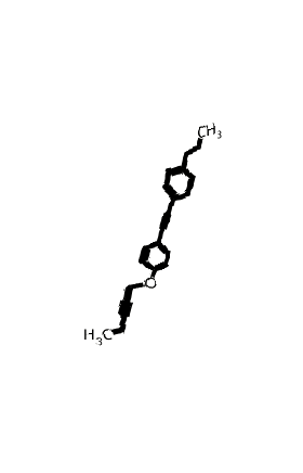 CCC#CCOc1ccc(C#Cc2ccc(CCC)cc2)cc1